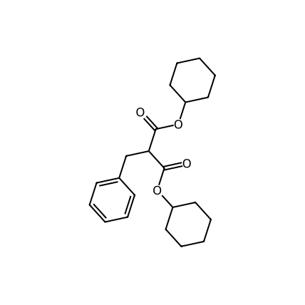 O=C(OC1CCCCC1)C(Cc1ccccc1)C(=O)OC1CCCCC1